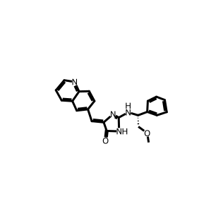 COC[C@H](NC1=N/C(=C\c2ccc3ncccc3c2)C(=O)N1)c1ccccc1